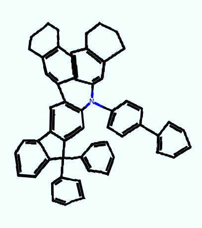 c1ccc(-c2ccc(N(c3ccc4c(c3)CCCC4)c3cc4c(cc3-c3ccc5c(c3)CCCC5)-c3ccccc3C4(c3ccccc3)c3ccccc3)cc2)cc1